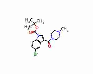 CN1CCN(C(=O)c2cn(C(=O)OC(C)(C)C)c3ccc(Br)cc23)CC1